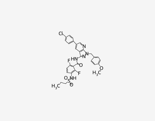 CCCS(=O)(=O)Nc1ccc(F)c(C(=O)Nc2nn(Cc3ccc(OC)cc3)c3ncc(-c4ccc(Cl)cc4)cc23)c1F